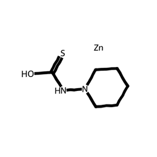 OC(=S)NN1CCCCC1.[Zn]